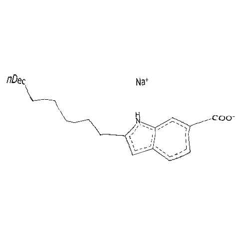 CCCCCCCCCCCCCCCc1cc2ccc(C(=O)[O-])cc2[nH]1.[Na+]